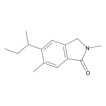 CCC(C)c1cc2c(cc1C)C(=O)N(C)C2